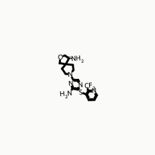 Nc1nc(N2CCC3(CC2)COC[C@@H]3N)cnc1Sc1cccnc1C(F)(F)F